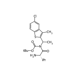 Cc1c(C(C)N(C(=O)OC(C)(C)C)C(=O)[C@@H](N)C(C)C)sc2ccc(Cl)cc12